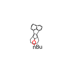 CCCCC1CCC2=C3C(=C(CC1)C2=O)c1cccc2cccc3c12